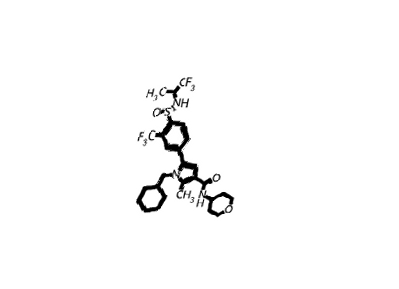 Cc1c(C(=O)NC2CCOCC2)cc(-c2ccc([S+]([O-])NC(C)C(F)(F)F)c(C(F)(F)F)c2)n1CC1CCCCC1